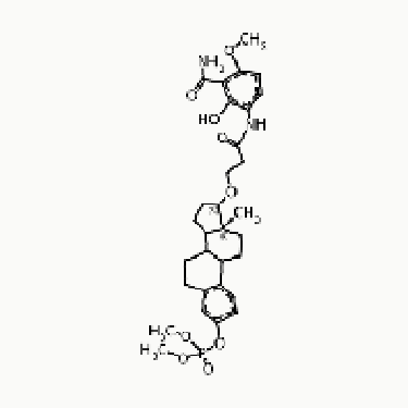 COc1ccc(NC(=O)CCO[C@@H]2CCC3C4CCc5cc(OP(=O)(OC)OC)ccc5C4CC[C@]32C)c(O)c1C(N)=O